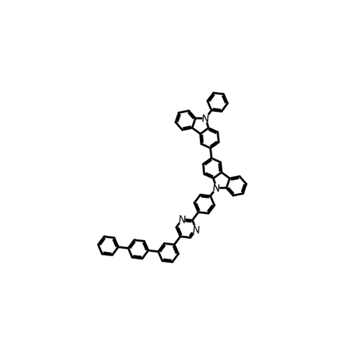 c1ccc(-c2ccc(-c3cccc(-c4cnc(-c5ccc(-n6c7ccccc7c7cc(-c8ccc9c(c8)c8ccccc8n9-c8ccccc8)ccc76)cc5)nc4)c3)cc2)cc1